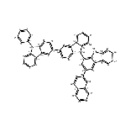 c1ccc(-n2c3ccccc3c3cc(-c4ccc5c(c4)c4ccccc4n5-c4cc(-c5ccc6ccccc6c5)cc5c4oc4ccccc45)ccc32)cc1